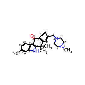 CN1CCN(Cc2ccc3c(c2)C(C)(C)c2[nH]c4cc(C#N)ccc4c2C3=O)CC1